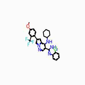 COc1ccc(-c2cc3c(NC4CCCCC4)c(/C(N)=N/c4ccccc4Cl)cnn3c2)c(C(F)(F)F)c1